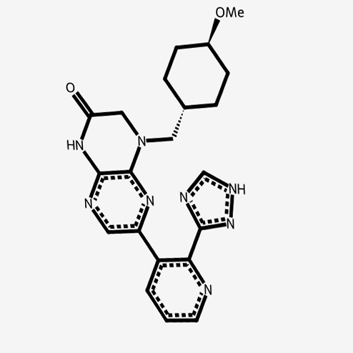 CO[C@H]1CC[C@H](CN2CC(=O)Nc3ncc(-c4cccnc4-c4nc[nH]n4)nc32)CC1